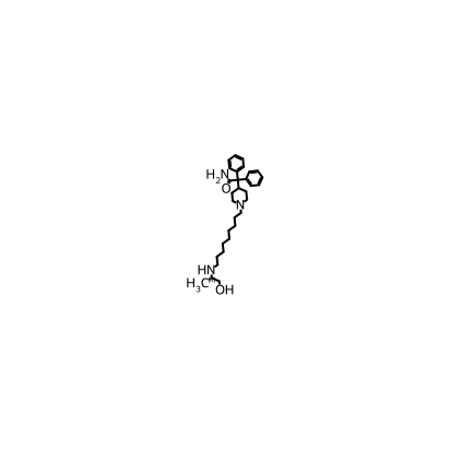 C[C@H](CO)NCCCCCCCCCN1CCC(C(C(N)=O)(c2ccccc2)c2ccccc2)CC1